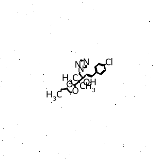 CCC1COC(C(C)(C)C(O)(/C=C/c2ccc(Cl)cc2)Cn2cncn2)O1